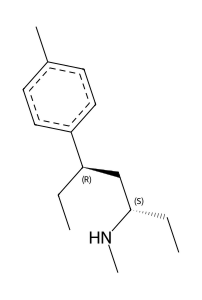 CC[C@@H](C[C@@H](CC)c1ccc(C)cc1)NC